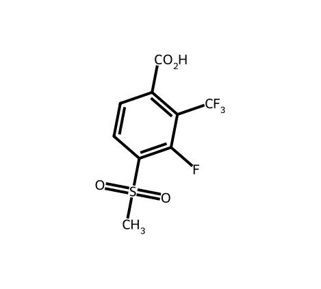 CS(=O)(=O)c1ccc(C(=O)O)c(C(F)(F)F)c1F